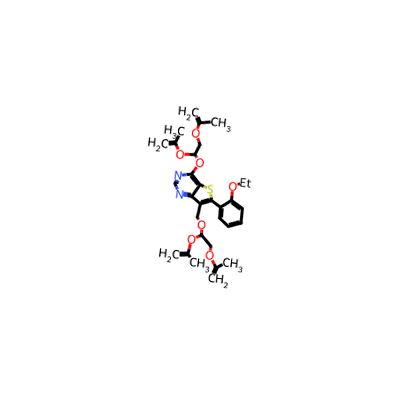 C=C(C)OCC(OCc1c(-c2ccccc2OCC)sc2c(OC(COC(=C)C)OC(=C)C)ncnc12)OC(=C)C